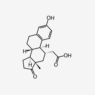 C[C@]12C[C@@H](CC(=O)O)[C@@H]3c4ccc(O)cc4CC[C@H]3[C@@H]1CCC2=O